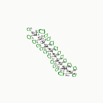 Cl[Si](Cl)(Cl)[Si](Cl)(Cl)[Si](Cl)(Cl)[Si](Cl)(Cl)[Si](Cl)(Cl)[Si](Cl)(Cl)[Si](Cl)(Cl)[Si](Cl)(Cl)[Si](Cl)(Cl)[Si](Cl)(Cl)Cl